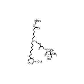 CCCCCCCCCCCOC(=O)CCCCCN(CCCCCCCC(=O)OC(CCCCCCCC)CCCCCCCC)CCOC(=O)CCNC(=O)C(O)C(C)(C)CO